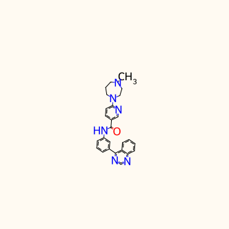 CN1CCCN(c2ccc(C(=O)Nc3cccc(-c4ncnc5ccccc45)c3)cn2)CC1